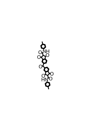 Cc1ccc(NC(=O)C2C(=O)c3ccc(C(=O)c4ccc5c(c4)C(=O)C(C(=O)Nc4ccc(C)cc4)C5=O)cc3C2=O)cc1